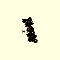 C=C(/C=C\C=C/C)C1(c2ccccc2)c2cc(N(c3ccccc3)c3cccc4c3oc3c(-c5ccccc5)cc5ccccc5c34)ccc2-c2ccc3cc(N(c4ccccc4)c4cccc5c4oc4c(-c6ccccc6)cc6ccccc6c45)ccc3c21